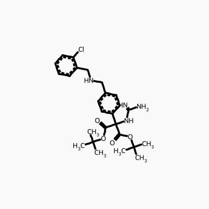 CC(C)(C)OC(=O)C(NC(=N)N)(C(=O)OC(C)(C)C)c1ccc(CNCc2ccccc2Cl)cc1